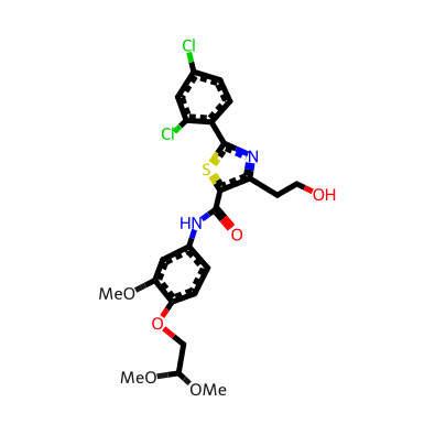 COc1cc(NC(=O)c2sc(-c3ccc(Cl)cc3Cl)nc2CCO)ccc1OCC(OC)OC